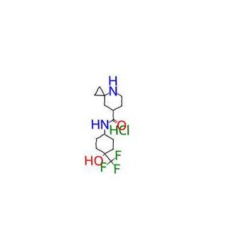 Cl.O=C(NC1CCC(O)(C(F)(F)F)CC1)C1CCNC2(CC2)C1